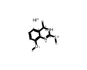 COc1cccc2c1N=C(SC)NC2C.I